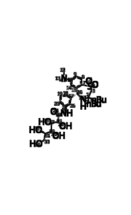 CCCCC1(CCCC)CS(=O)(=O)c2ccc(N(C)C)cc2[C@@H](c2cccc(NC(=O)[C@H](O)[C@@H](O)[C@H](O)[C@H](O)CO)c2)N1